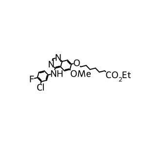 CCOC(=O)CCCCCCOc1cc2ncnc(Nc3ccc(F)c(Cl)c3)c2cc1OC